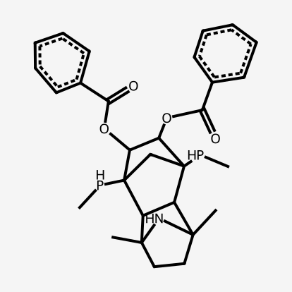 CPC12CC(PC)(C(OC(=O)c3ccccc3)C1OC(=O)c1ccccc1)C1C2C2(C)CCC1(C)N2